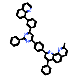 Cc1ccc2ccc3c(-c4ccccc4)cc(-c4ccc(-c5cc(-c6cccc(-c7cccc8cccnc78)c6)nc(-c6ccccc6)n5)cc4)nc3c2n1